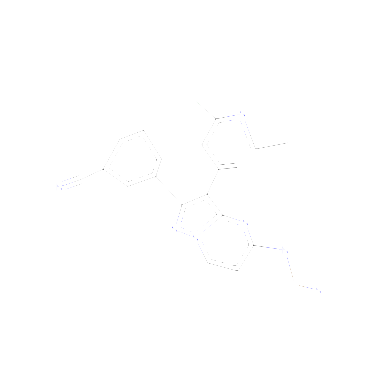 Cc1cc(-c2c(-c3cccc(C#N)c3)nn3ccc(NSN)nc23)cc(Cl)n1